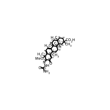 CO[C@@]1(C)C2=CC=C3[C@@](C)(CC[C@@]4(C)[C@@H]5C[C@](C)(C(=O)O)CC[C@]5(C)CC[C@]34C)C2=CC(=O)C1=NNC(N)=O